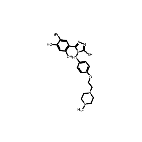 CC(C)c1cc(-c2nnc(S)n2Nc2ccc(OCCN3CCN(C)CC3)cc2)c(O)cc1O